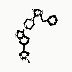 Cn1cc(-c2ccc3c(N4CCN(c5ncnn5Cc5ccccc5)CC4)cnn3c2)cn1